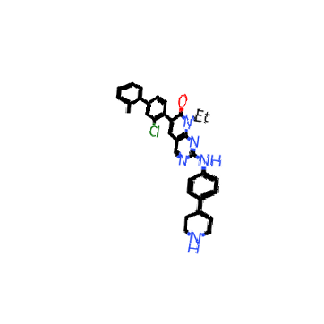 CCn1c(=O)c(-c2ccc(-c3ccccc3C)cc2Cl)cc2cnc(Nc3ccc(C4CCNCC4)cc3)nc21